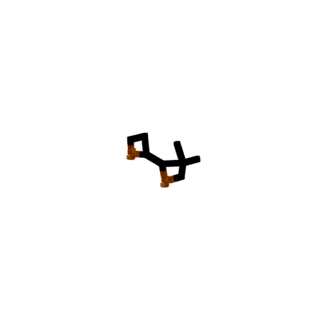 CC1(C)CSC1C1CCS1